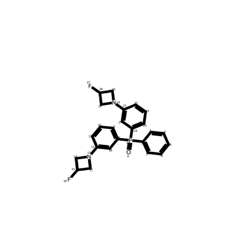 O=P(c1ccccc1)(c1cccc(N2CC(F)C2)c1)c1cccc(N2CC(F)C2)c1